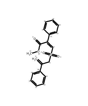 C=C(CS(=O)(=O)C=C(C(=O)OC)c1ccccc1)c1ccccc1